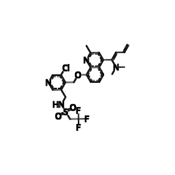 C=C/C=C(/c1cc(C)nc2c(OCc3c(Cl)cncc3CNS(=O)(=O)CC(F)(F)F)cccc12)N(C)C